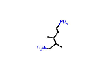 CC(CN)C(C)CCN